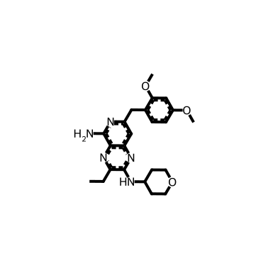 CCc1nc2c(N)nc(Cc3ccc(OC)cc3OC)cc2nc1NC1CCOCC1